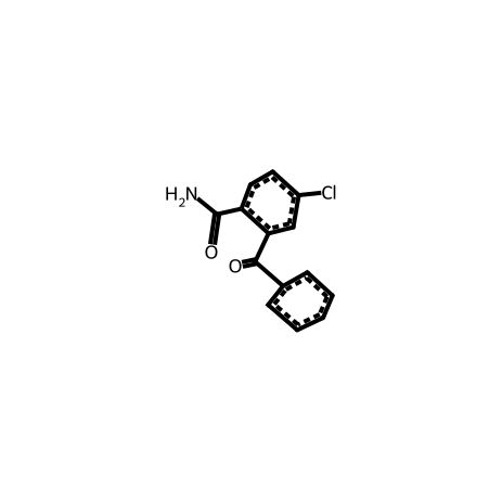 NC(=O)c1ccc(Cl)cc1C(=O)c1ccccc1